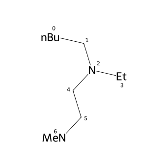 CCCCCN(CC)CCNC